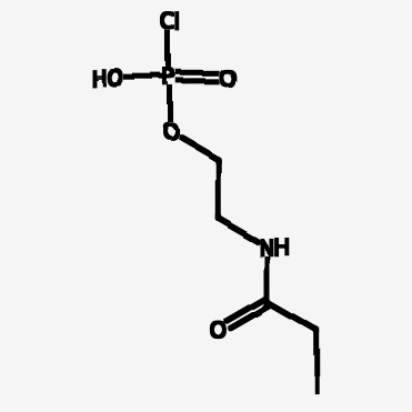 O=C(CI)NCCOP(=O)(O)Cl